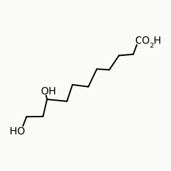 O=C(O)CCCCCCCC(O)CCO